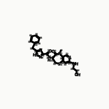 CN1C(=O)[C@@H](NC(=O)c2n[nH]c(Cc3ccccc3)n2)CSc2cc(NCCO)ncc21